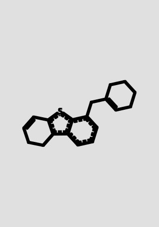 C1=Cc2sc3c(CC4=CCCCC4)cccc3c2CC1